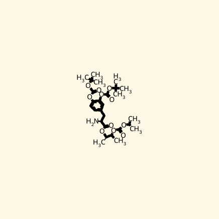 CC(C)OC(=O)OC(C)[C@H](C)OC(=O)[C@@H](N)Cc1ccc(OC(=O)OC(C)(C)C)c(OC(=O)OC(C)(C)C)c1